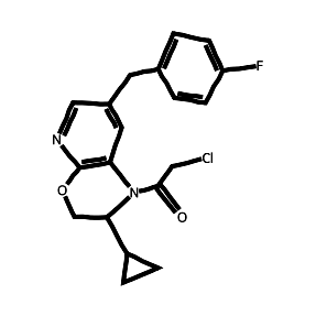 O=C(CCl)N1c2cc(Cc3ccc(F)cc3)cnc2OCC1C1CC1